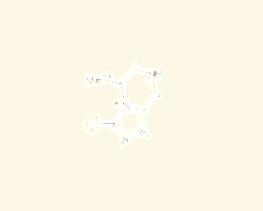 COC1CNCc2nnc(C(F)(F)F)n21